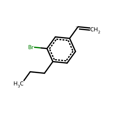 C=[C]c1ccc(CCC)c(Br)c1